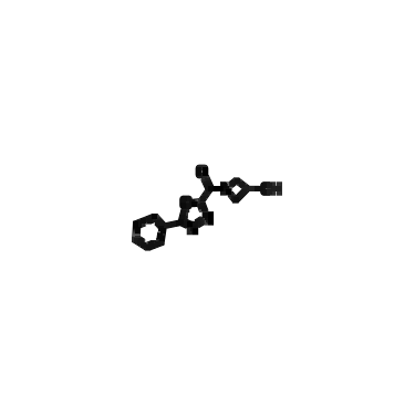 O=C(c1nnc(-c2ccccc2)o1)N1CC(O)C1